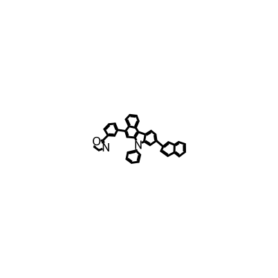 c1ccc(-n2c3cc(-c4ccc5ccccc5c4)ccc3c3c4ccccc4c(-c4cccc(C5=NCCO5)c4)cc32)cc1